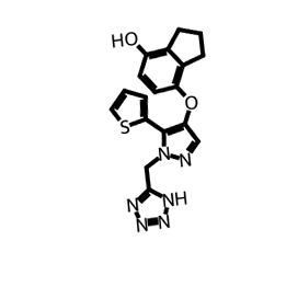 Oc1ccc(Oc2cnn(Cc3nnn[nH]3)c2-c2cccs2)c2c1CCC2